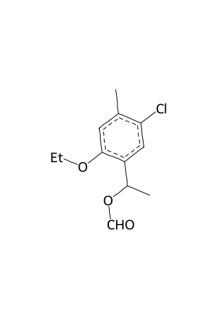 CCOc1cc(C)c(Cl)cc1C(C)OC=O